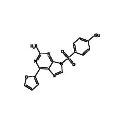 CC(C)(C)c1ccc(S(=O)(=O)n2cnc3c(-c4ccco4)nc(N)nc32)cc1